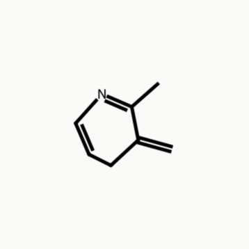 C=C1CC=CN=C1C